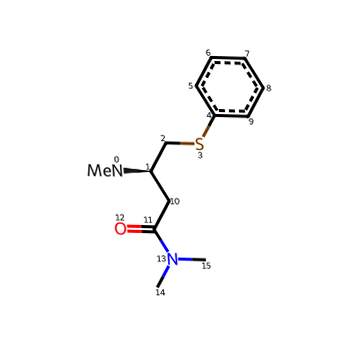 CN[C@@H](CSc1ccccc1)CC(=O)N(C)C